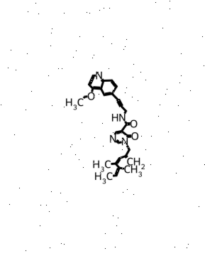 C=C(/C=C(C)\C(C)=C/C)Cn1cncc(C(=O)NCC#Cc2ccc3nccc(OCC)c3c2)c1=O